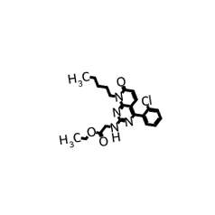 CCCCCn1c(=O)ccc2c(-c3ccccc3Cl)nc(NCC(=O)OCC)nc21